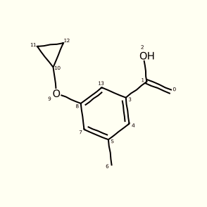 C=C(O)c1cc(C)cc(OC2CC2)c1